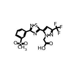 CS(=O)(=O)c1cccc(-c2nsc(-c3cc(C(F)(F)F)nn3CC(=O)O)n2)c1